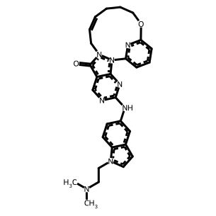 CN(C)CCn1ccc2cc(Nc3ncc4c(=O)n5n(c4n3)-c3cccc(n3)OCCC/C=C\C5)ccc21